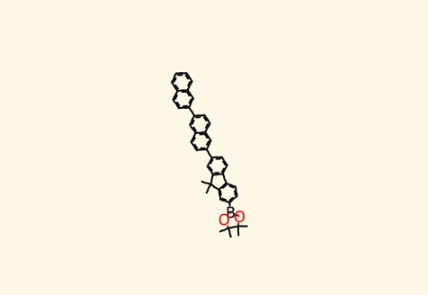 CC1(C)c2cc(B3OC(C)(C)C(C)(C)O3)ccc2-c2ccc(-c3ccc4cc(-c5ccc6ccccc6c5)ccc4c3)cc21